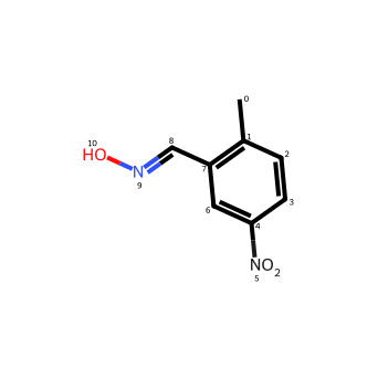 Cc1ccc([N+](=O)[O-])cc1/C=N/O